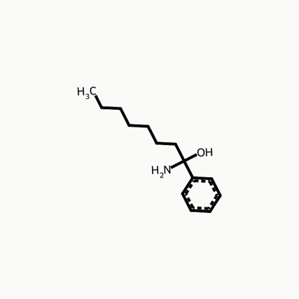 CCCCCCCC(N)(O)c1ccccc1